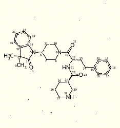 CC1(C)C(=O)N(C2CCN(C(=O)C(CCc3ccccc3)NC(=O)[C@@H]3CCCNC3)CC2)c2ccccc21